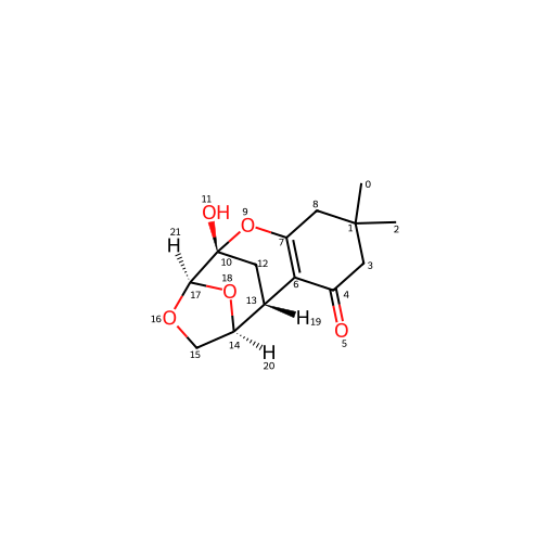 CC1(C)CC(=O)C2=C(C1)O[C@]1(O)C[C@H]2[C@H]2CO[C@@H]1O2